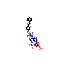 O=C(COc1ccc(C=Cc2ccccc2)cc1)Nc1ncnc2c1ncn2[C@@H]1O[C@H](CO)C(O)C1O